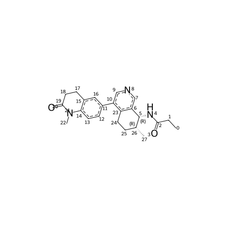 CCC(=O)N[C@H]1c2cncc(-c3ccc4c(c3)CCC(=O)N4C)c2CC[C@H]1C